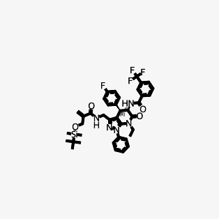 C=C(CO[Si](C)(C)C(C)(C)C)C(=O)NCc1nn(-c2ccccc2)c2c1[C@@H](c1ccc(F)cc1)[C@@H](NC(=O)c1cccc(C(F)(F)F)c1)C(=O)N2CC